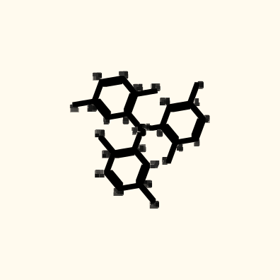 Cc1ccc(C)c([S+](c2cc(C)ccc2C)c2cc(C)ccc2C)c1